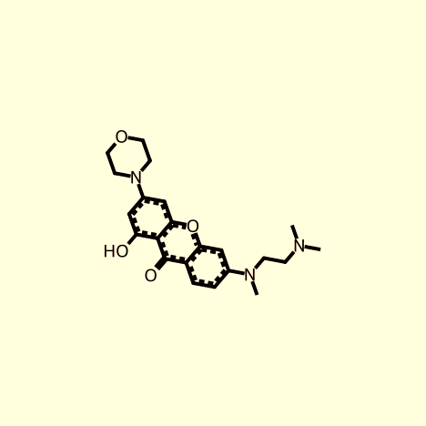 CN(C)CCN(C)c1ccc2c(=O)c3c(O)cc(N4CCOCC4)cc3oc2c1